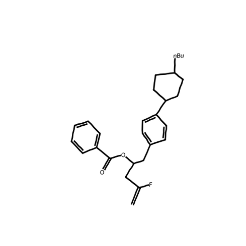 C=C(F)CC(Cc1ccc(C2CCC(CCCC)CC2)cc1)OC(=O)c1ccccc1